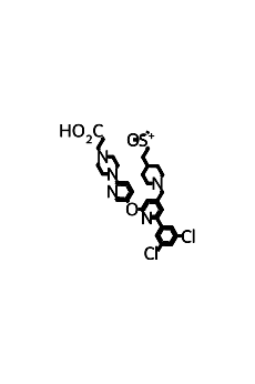 C[S+]([O-])CCC1CCN(Cc2cc(Oc3ccc(N4CCN(CCC(=O)O)CC4)nc3)nc(-c3cc(Cl)cc(Cl)c3)c2)CC1